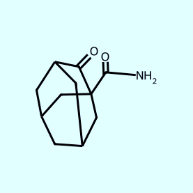 NC(=O)C12CC3CC(CC(C3)C1=O)C2